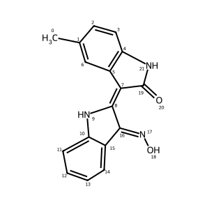 Cc1ccc2c(c1)C(=C1Nc3ccccc3C1=NO)C(=O)N2